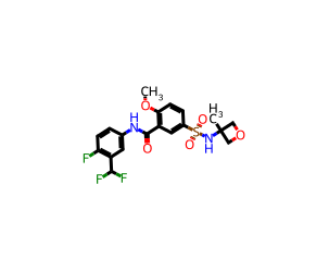 COc1ccc(S(=O)(=O)NC2(C)COC2)cc1C(=O)Nc1ccc(F)c(C(F)F)c1